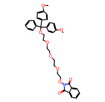 COc1ccc(C(OCCOCCOCCOCCON2C(=O)c3ccccc3C2=O)(c2ccccc2)c2ccc(OC)cc2)cc1